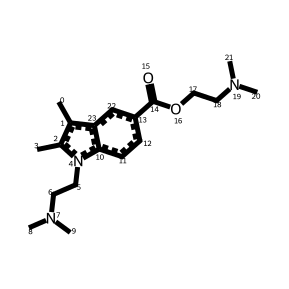 Cc1c(C)n(CCN(C)C)c2ccc(C(=O)OCCN(C)C)cc12